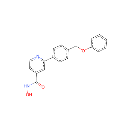 O=C(NO)c1ccnc(-c2ccc(COc3ccccc3)cc2)c1